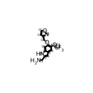 Cl.NCc1cc2cc(OC(F)(F)F)c(OCc3ccon3)cc2[nH]1